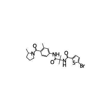 Cc1cc(NC(=O)C(C)(C)NC(=O)c2ccc(Br)s2)ccc1C(=O)N1CCCC1C